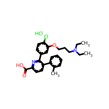 CCN(CC)CCCOc1cc(-c2nc(C(=O)O)ccc2-c2ccccc2C)ccc1Cl.Cl